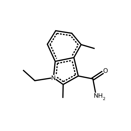 CCn1c(C)c(C(N)=O)c2c(C)cccc21